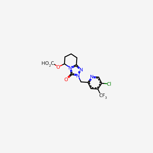 O=C(O)OC1CCCc2nn(Cc3cc(C(F)(F)F)c(Cl)cn3)c(=O)n21